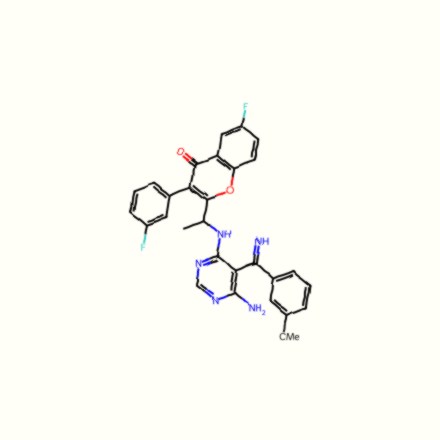 COc1cccc(C(=N)c2c(N)ncnc2NC(C)c2oc3ccc(F)cc3c(=O)c2-c2cccc(F)c2)c1